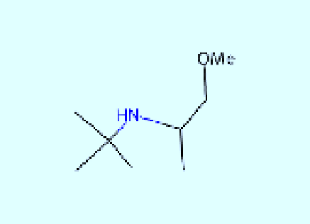 COCC(C)NC(C)(C)C